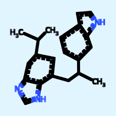 CC(C)c1cc(CC(C)c2ccc3cc[nH]c3c2)c2[nH]cnc2c1